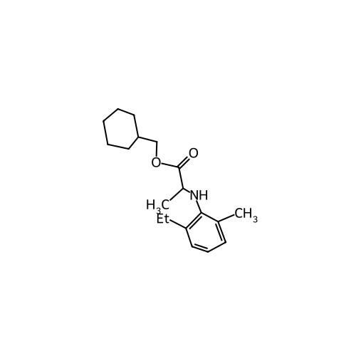 CCc1cccc(C)c1NC(C)C(=O)OCC1CCCCC1